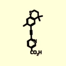 Cc1cc2c(cc1C#Cc1ccc(C(=O)O)cn1)C(C)(C)CCS2